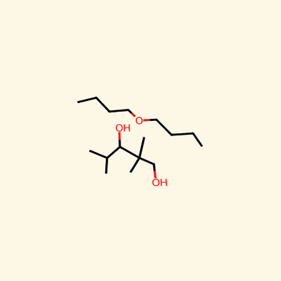 CC(C)C(O)C(C)(C)CO.CCCCOCCCC